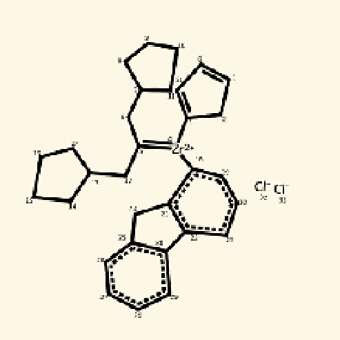 C1=CC[C]([Zr+2](=[C](CC2CCCC2)CC2CCCC2)[c]2cccc3c2Cc2ccccc2-3)=C1.[Cl-].[Cl-]